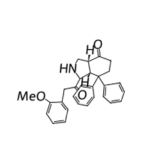 COc1ccccc1CC(=O)C1NC[C@@H]2C(=O)CCC(c3ccccc3)(c3ccccc3)[C@H]12